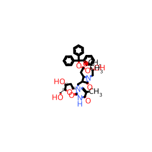 COC(CC1C(C[N+]2([C@H]3C[C@H](O)[C@@H](CO)O3)C=C(C)C(=O)NC2=O)C(=O)N1CCO)(OC)OC(c1ccccc1)(c1ccccc1)c1ccccc1